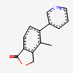 Cc1c(-c2cccnc2)ccc2c1COC2=O